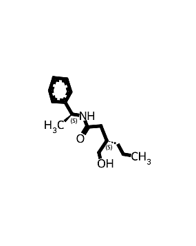 CCC[C@H](CO)CC(=O)N[C@@H](C)c1ccccc1